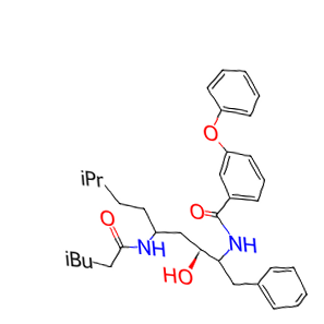 CCC(C)CC(=O)NC(CCC(C)C)C[C@H](O)C(Cc1ccccc1)NC(=O)c1cccc(Oc2ccccc2)c1